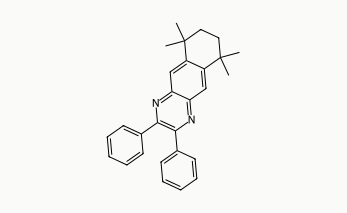 CC1(C)CCC(C)(C)c2cc3nc(-c4ccccc4)c(-c4ccccc4)nc3cc21